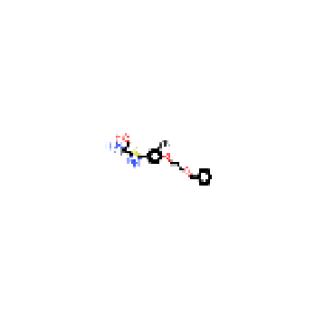 C[C@](N)(CO)c1nnc(-c2ccc(OCCCOCc3ccccc3)c(C(F)(F)F)c2)s1